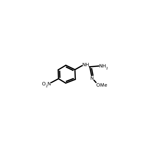 CON=C(N)Nc1ccc([N+](=O)[O-])cc1